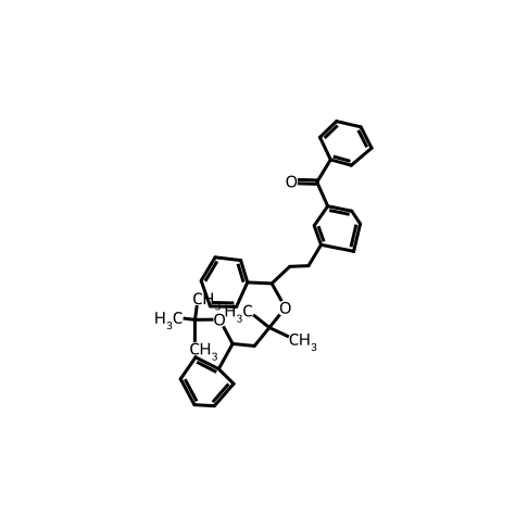 CC(C)(C)OC(CC(C)(C)OC(CCc1cccc(C(=O)c2ccccc2)c1)c1ccccc1)c1ccccc1